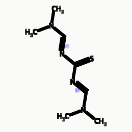 CN(C)/C=N/C(=S)/N=C/N(C)C